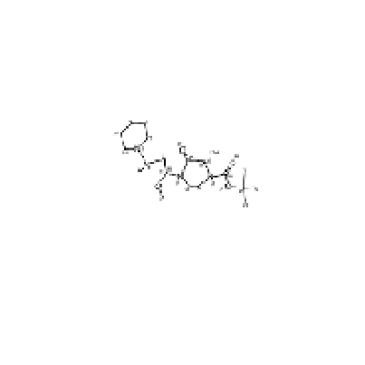 CO[C@@H](CC(C)N1CCCCC1)N1CCN(C(=O)OC(C)(C)C)[C@@H](C)C1=O